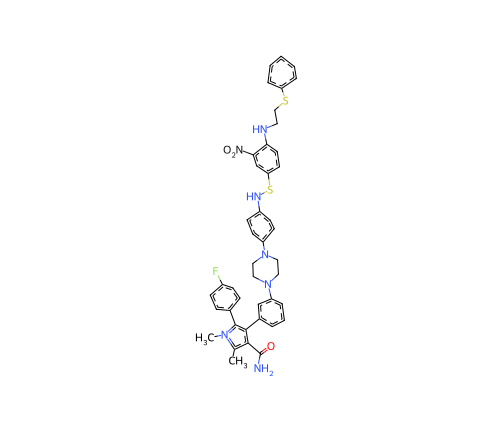 Cc1c(C(N)=O)c(-c2cccc(N3CCN(c4ccc(NSc5ccc(NCCSc6ccccc6)c([N+](=O)[O-])c5)cc4)CC3)c2)c(-c2ccc(F)cc2)n1C